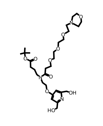 CC(C)(C)OC(=O)CCCN(CCOc1cc(CO)nc(CO)c1)C(=O)CCOCCOCCOCCN1CCOCC1